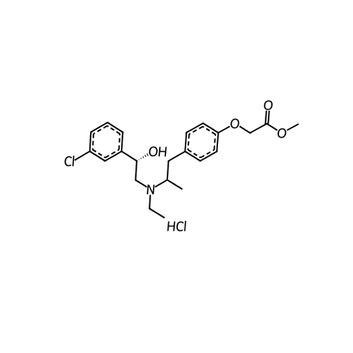 CCN(C[C@@H](O)c1cccc(Cl)c1)C(C)Cc1ccc(OCC(=O)OC)cc1.Cl